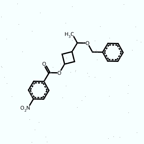 CC(OCc1ccccc1)C1CC(OC(=O)c2ccc([N+](=O)[O-])cc2)C1